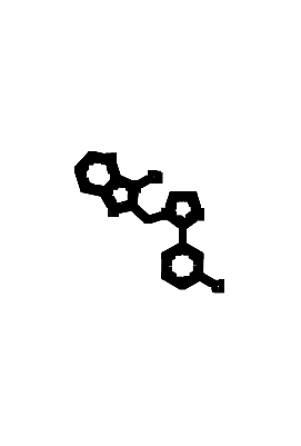 CCn1c(Cn2ccnc2-c2cccc(Cl)c2)nc2cccnc21